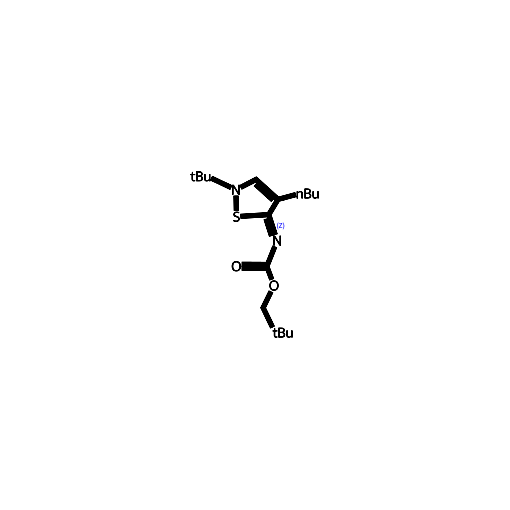 CCCCc1cn(C(C)(C)C)s/c1=N\C(=O)OCC(C)(C)C